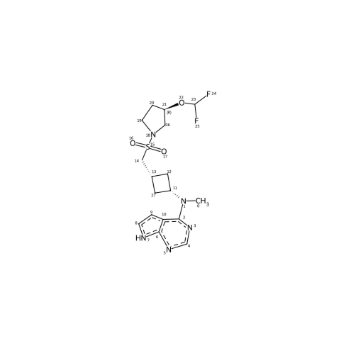 CN(c1ncnc2[nH]ccc12)[C@H]1C[C@@H](CS(=O)(=O)N2CC[C@@H](OC(F)F)C2)C1